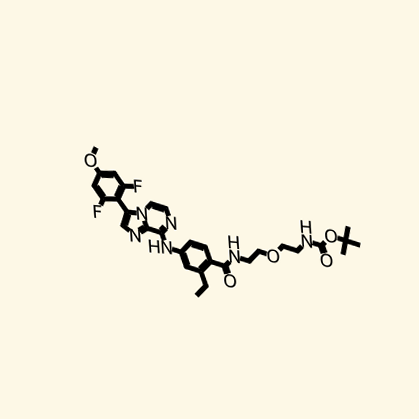 CCc1cc(Nc2nccn3c(-c4c(F)cc(OC)cc4F)cnc23)ccc1C(=O)NCCOCCNC(=O)OC(C)(C)C